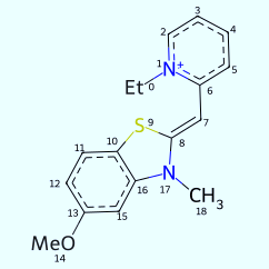 CC[n+]1ccccc1/C=C1\Sc2ccc(OC)cc2N1C